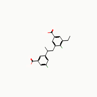 CCc1cc(C(=O)O)cc(CC(C)c2cc(F)cc(C(=O)O)c2)c1F